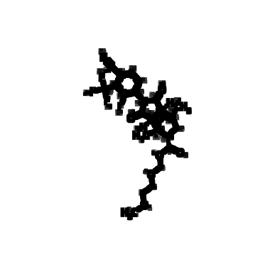 COCCOCOC(=O)[C@H]1C[C@]2(C)O[C@@]1(C)[C@H]1C(=O)N(c3ccc(C#N)c(C(F)(F)F)c3F)C(=O)[C@H]12